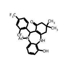 CC(=O)N1c2cccc(O)c2NC2=C(C(=O)CC(C)(C)C2)C1c1ccc(C(F)(F)F)cc1C(F)(F)F